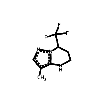 Cc1cnn2c1NCCC2C(F)(F)F